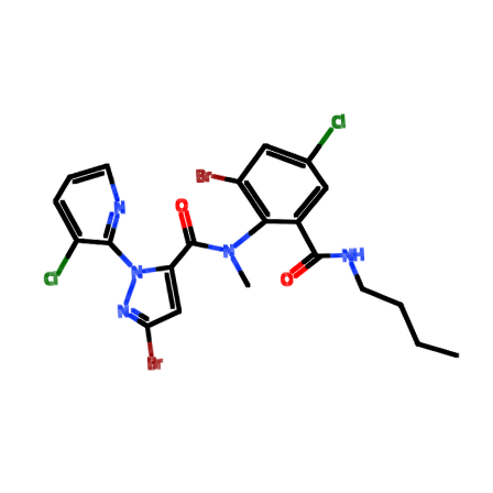 CCCCNC(=O)c1cc(Cl)cc(Br)c1N(C)C(=O)c1cc(Br)nn1-c1ncccc1Cl